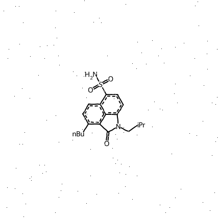 CCCCc1ccc2c(S(N)(=O)=O)ccc3c2c1C(=O)N3CC(C)C